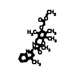 CCOC(=O)COc1c(C)c(C)c2c(c1C)CCC(C)(C(=O)Nc1cc(C)c3ccccc3n1)O2